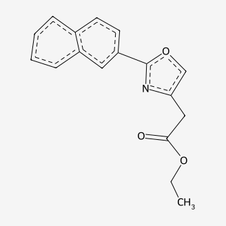 CCOC(=O)Cc1coc(-c2ccc3ccccc3c2)n1